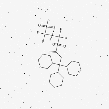 C=C(CC(C1CCCCC1)(C1CCCCC1)C1CCCCC1)S(=O)(=O)C(F)(F)C(F)(F)C(F)(F)S(C)(=O)=O